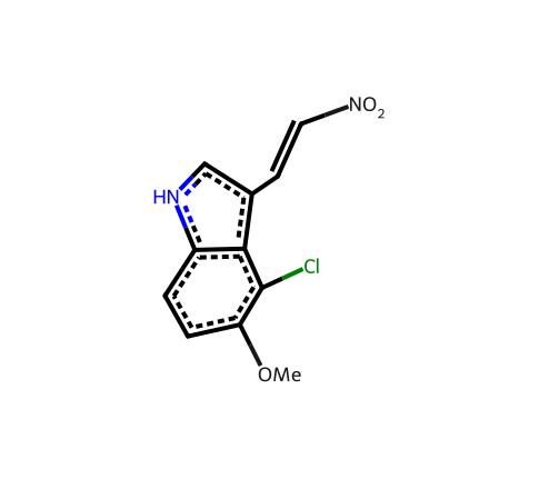 COc1ccc2[nH]cc(C=C[N+](=O)[O-])c2c1Cl